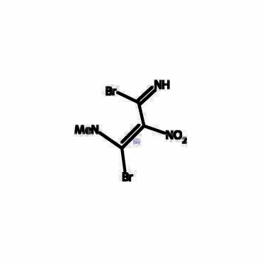 CN/C(Br)=C(\C(=N)Br)[N+](=O)[O-]